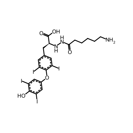 NCCCCCC(=O)NN[C@@H](Cc1cc(I)c(Oc2cc(I)c(O)c(I)c2)c(I)c1)C(=O)O